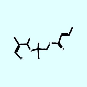 CC=CC(=O)OCC(C)(C)OC(C)C(C)=CC(C)C